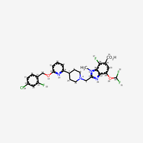 Cn1c(CN2CCC(c3cccc(OCc4ccc(Cl)cc4F)n3)CC2)nc2c(OC(F)F)cc(C(=O)O)c(F)c21